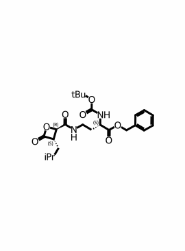 CC(C)C[C@@H]1C(=O)O[C@H]1C(=O)NCC[C@H](NC(=O)OC(C)(C)C)C(=O)OCc1ccccc1